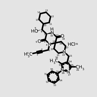 CC#CCN1C(=O)[C@@H]([C@H](O)C2CCCCC2)NC(=O)C12CCN(Cc1c(C)nn(-c3ccccc3)c1C)CC2.Cl